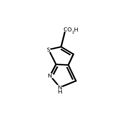 O=C(O)c1cc2c[nH]nc2s1